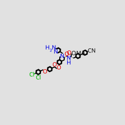 COC(=O)[C@H](Cc1ccc(-c2ccc(C#N)cc2)cc1)NC(=O)[C@@H]1Cc2cc3c(cc2CN1Cc1ccc(N)nc1)OC(c1ccc(OCc2ccc(Cl)c(Cl)c2)cc1)CO3